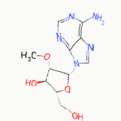 CO[C@H]1[C@H](O)[C@@H](CO)O[C@H]1n1cnc2c(N)ncnc21